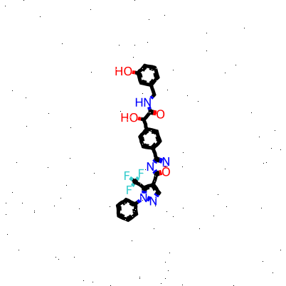 O=C(NCc1cccc(O)c1)C(O)c1ccc(-c2noc(-c3cnn(-c4ccccc4)c3C(F)(F)F)n2)cc1